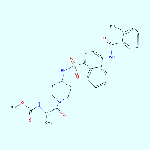 Cc1ccccc1C(=O)Nc1ccc(S(=O)(=O)NC2CCN(C(=O)[C@H](C)NC(=O)OC(C)(C)C)CC2)c2ccccc12